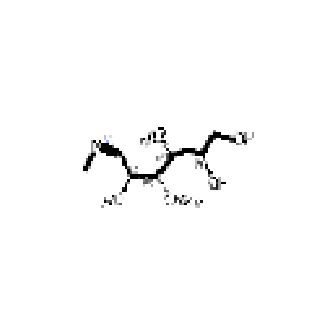 C/N=C\[C@H](O)[C@@H](OC)[C@H](O)[C@H](O)CO